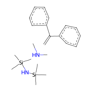 C=C(c1ccccc1)c1ccccc1.CNC.C[Si](C)(C)N[Si](C)(C)C